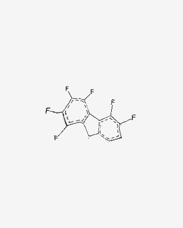 Fc1ccc2c(c1F)-c1c(F)c(F)c(F)c(F)c1[CH]2